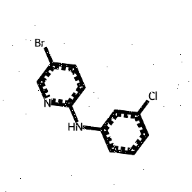 Clc1cccc(Nc2ccc(Br)cn2)c1